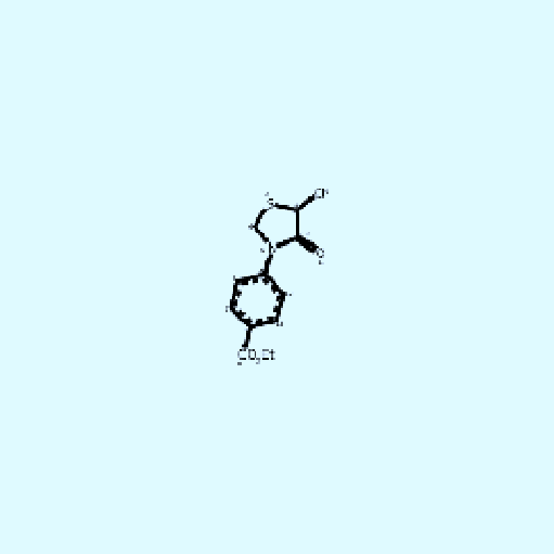 CCOC(=O)c1ccc(N2CSC(Cl)C2=O)cc1